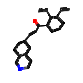 COc1cccc(C(=O)C=Cc2ccc3cnccc3c2)c1OC